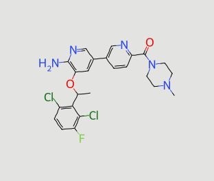 CC(Oc1cc(-c2ccc(C(=O)N3CCN(C)CC3)nc2)cnc1N)c1c(Cl)ccc(F)c1Cl